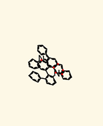 c1ccc(-c2ccccc2-c2c(-c3ccccc3)cccc2N(c2ccccc2)c2ccc3c4ccccc4n(-c4ccccc4)c3c2)cc1